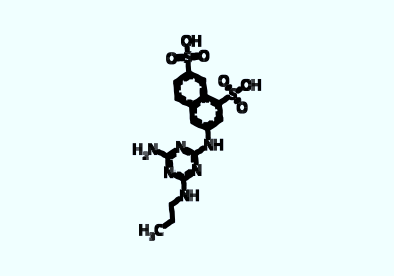 CCCNc1nc(N)nc(Nc2cc(S(=O)(=O)O)c3cc(S(=O)(=O)O)ccc3c2)n1